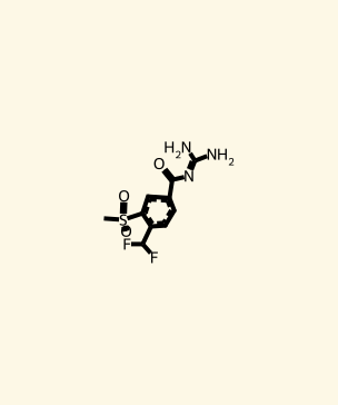 CS(=O)(=O)c1cc(C(=O)N=C(N)N)ccc1C(F)F